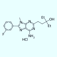 CCC(O)(CC)CCc1nc(N)c2nc(-c3cccc(F)c3)n(C)c2n1.Cl